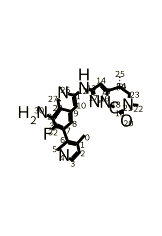 Cc1ccncc1-c1cc2cc(Nc3cc4n(n3)CC(=O)N(C)C[C@H]4C)ncc2c(N)c1F